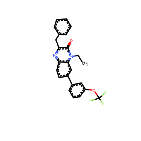 CCn1c(=O)c(Cc2ccccc2)nc2ccc(-c3cccc(OC(F)(F)F)c3)cc21